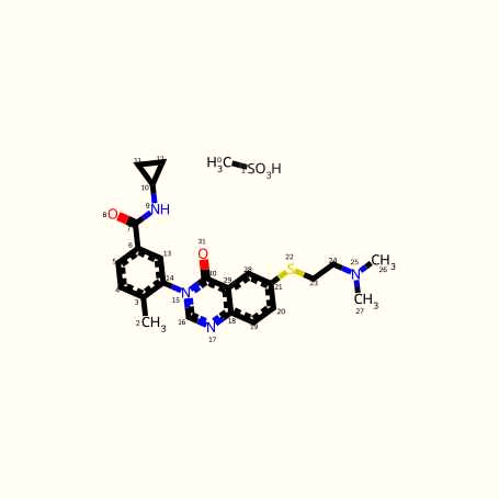 CS(=O)(=O)O.Cc1ccc(C(=O)NC2CC2)cc1-n1cnc2ccc(SCCN(C)C)cc2c1=O